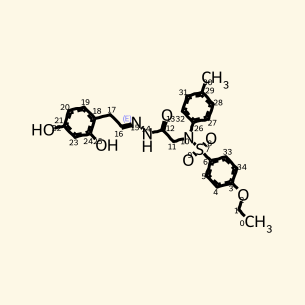 CCOc1ccc(S(=O)(=O)N(CC(=O)N/N=C/Cc2ccc(O)cc2O)c2ccc(C)cc2)cc1